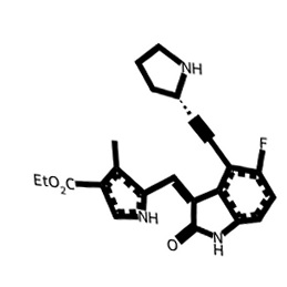 CCOC(=O)c1c[nH]c(C=C2C(=O)Nc3ccc(F)c(C#C[C@@H]4CCCN4)c32)c1C